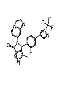 Cc1c2c(nn1C)C(=O)N(c1ccn3ccnc3c1)C2c1ccc(-c2cnn(C(F)(F)F)c2)cc1F